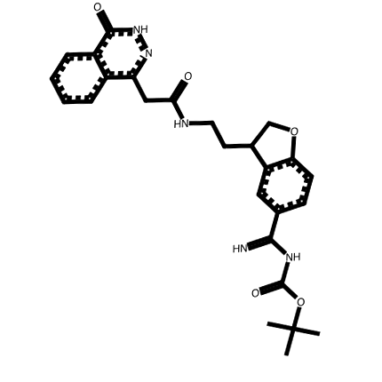 CC(C)(C)OC(=O)NC(=N)c1ccc2c(c1)C(CCNC(=O)Cc1n[nH]c(=O)c3ccccc13)CO2